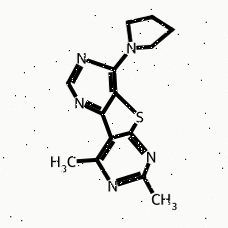 Cc1nc(C)c2c(n1)sc1c(N3CCCC3)ncnc12